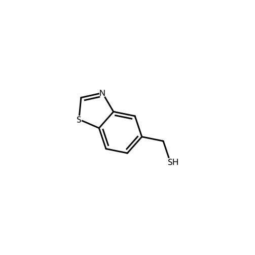 SCc1ccc2scnc2c1